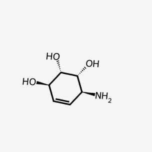 N[C@H]1C=C[C@@H](O)[C@H](O)[C@@H]1O